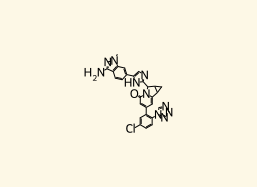 Cn1nc(N)c2ccc(-c3cnc(C4C5CC5c5cc(-c6cc(Cl)ccc6-n6cnnn6)cc(=O)n54)[nH]3)cc21